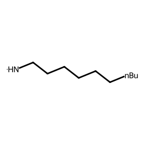 [CH2]CCCCCCCCC[NH]